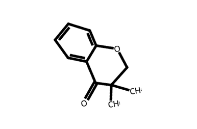 [CH]C1([CH])COc2ccccc2C1=O